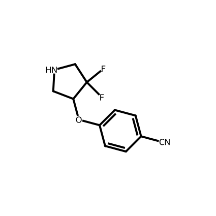 N#Cc1ccc(OC2CNCC2(F)F)cc1